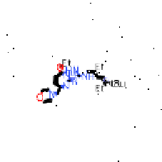 CCOC1=C=CC(CN2CCOCC2)=N/C(=N/C(=N)NCC(CC)C/C=C(\CC)C(C)(C)C)N1